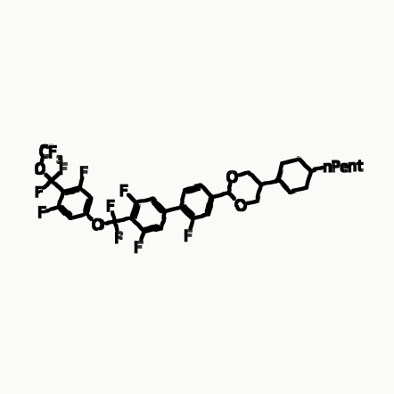 CCCCCC1CCC(C2COC(c3ccc(-c4cc(F)c(C(F)(F)Oc5cc(F)c(C(F)(F)OC(F)(F)F)c(F)c5)c(F)c4)c(F)c3)OC2)CC1